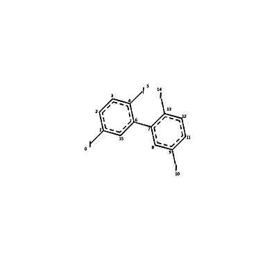 Ic1ccc(I)c(-c2cc(I)ccc2I)c1